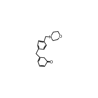 O=C1C=CC=C(Cc2ccc(CN3CCOCC3)cc2)C1